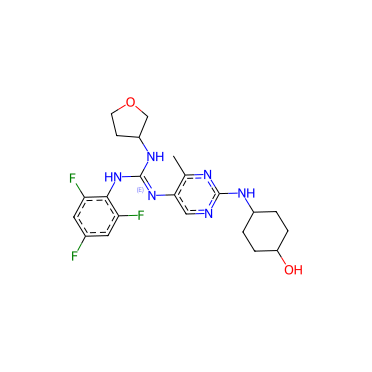 Cc1nc(NC2CCC(O)CC2)ncc1/N=C(/Nc1c(F)cc(F)cc1F)NC1CCOC1